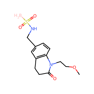 BS(=O)(=O)NCc1ccc2c(c1)CCC(=O)N2CCOC